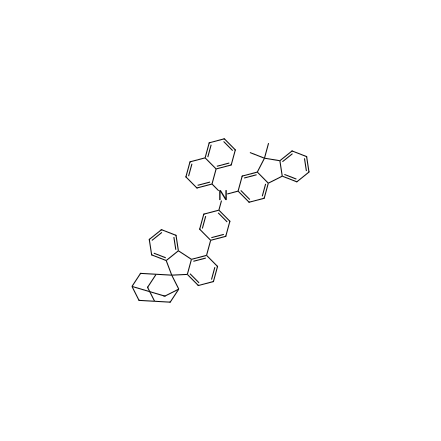 CC1(C)c2ccccc2-c2ccc(N(c3ccc(-c4cccc5c4-c4ccccc4C54C5CC6CC(C5)CC4C6)cc3)c3cccc4ccccc34)cc21